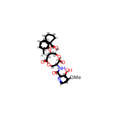 COc1ccnc(C(=O)N[C@H]2COC(=O)[C@H](Cc3ccccc3)[C@@H](OC(=O)C3CCCCC3)[C@H](C)OC2=O)c1O